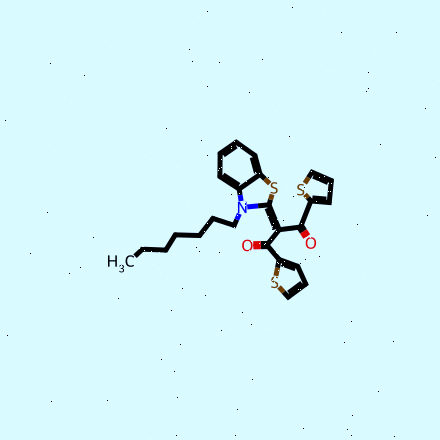 CCCCCCCN1C(=C(C(=O)c2cccs2)C(=O)c2cccs2)Sc2ccccc21